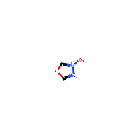 [O-][n+]1cocn1